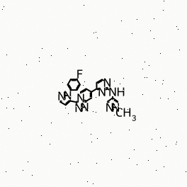 Cn1cc(Nc2nccc(-c3ccn4c(-c5ccnn5-c5ccc(F)cc5)nnc4c3)n2)cn1